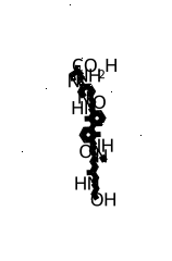 C=N/C(=C\C=C(/C)CNCCO)C(=O)Nc1cccc(-c2cccc(NC(=O)c3ccc(C4=NCC(C(=O)O)N4)cn3)c2C)c1C